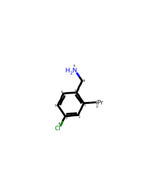 CC(C)c1cc(Cl)ccc1CN